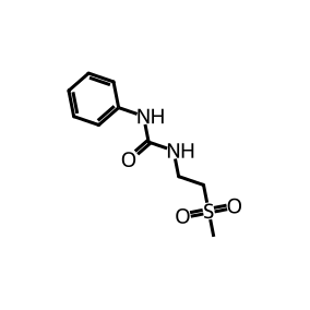 CS(=O)(=O)CCNC(=O)Nc1ccccc1